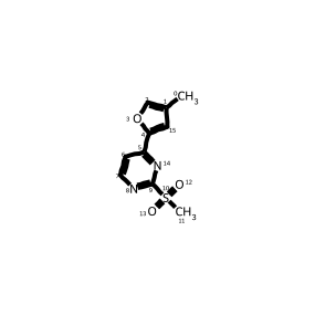 Cc1coc(-c2ccnc(S(C)(=O)=O)n2)c1